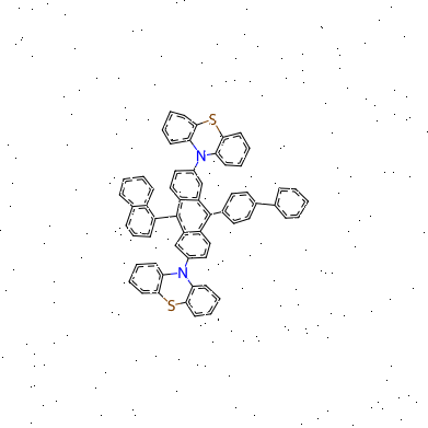 c1ccc(-c2ccc(-c3c4cc(N5c6ccccc6Sc6ccccc65)ccc4c(-c4cccc5ccccc45)c4cc(N5c6ccccc6Sc6ccccc65)ccc34)cc2)cc1